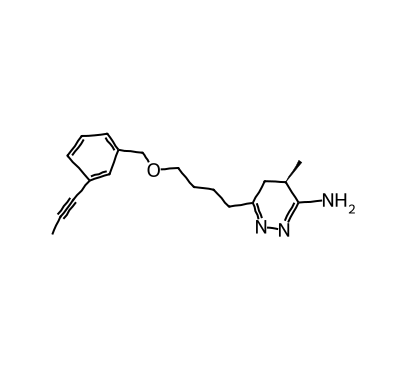 CC#Cc1cccc(COCCCCC2=NN=C(N)[C@H](C)C2)c1